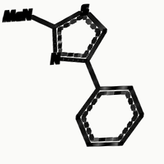 [CH]Nc1nc(-c2ccccc2)cs1